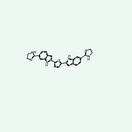 c1cc2cc(-c3ccc(-c4cc5ccc(C6=NCCN6)cc5[nH]4)s3)[nH]c2cc1C1=NCCN1